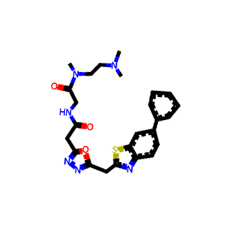 CN(C)CCN(C)C(=O)CNC(=O)Cc1nnc(Cc2nc3ccc(-c4ccccc4)cc3s2)o1